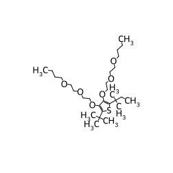 CCCCOCCOCCOc1c(C(C)(C)C)sc(C(C)(C)CC)c1OCCOCCOCCCC